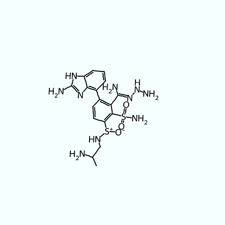 CC(N)CN[S+]([O-])c1ccc(-c2cccc3[nH]c(N)nc23)c(/C(N)=N/NN)c1S(N)(=O)=O